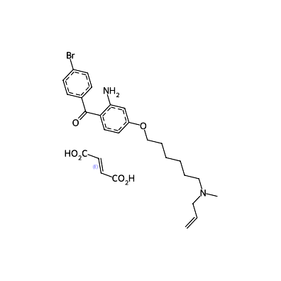 C=CCN(C)CCCCCCOc1ccc(C(=O)c2ccc(Br)cc2)c(N)c1.O=C(O)/C=C/C(=O)O